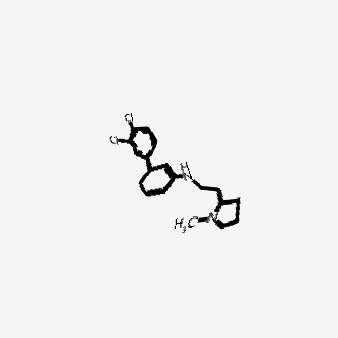 CN1CCCC1CCNC1=CC(c2ccc(Cl)c(Cl)c2)CC=C1